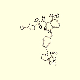 COc1cccc2c1c(NS(=O)(=O)c1ccc(Cl)s1)nn2Cc1cccc(CN2CCC[C@]2(C)C(N)=O)c1